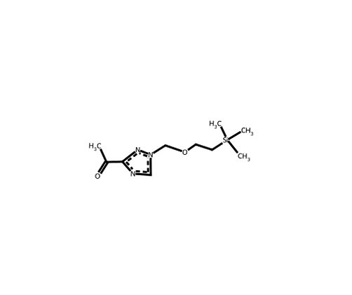 CC(=O)c1ncn(COCC[Si](C)(C)C)n1